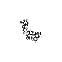 CCc1ccccc1C(O)c1ccc(N2CC[C@H](Oc3ncccc3F)C2)c(CO)c1